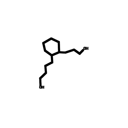 OCCCCC1CCCCC1CCCO